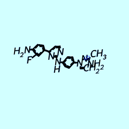 C=CN(/N=C(/C)N)c1ccc(Nc2nccc(-c3ccc(N)c(F)c3)n2)cc1